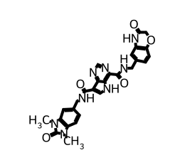 Cn1c(=O)n(C)c2cc(CNC(=O)c3c[nH]c4c(C(=O)NCc5ccc6c(c5)NC(=O)CO6)ncnc34)ccc21